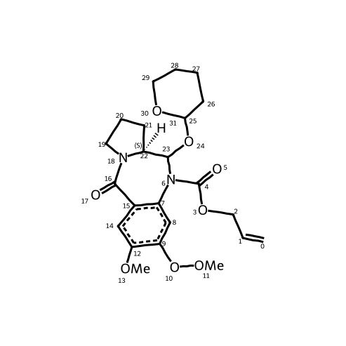 C=CCOC(=O)N1c2cc(OOC)c(OC)cc2C(=O)N2CCC[C@H]2C1OC1CCCCO1